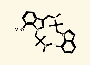 COc1cccc2c(CN(C)C(C)(C)Cn3ccc4cccc(F)c43)cn(CC(C)(C)N(C)C)c12